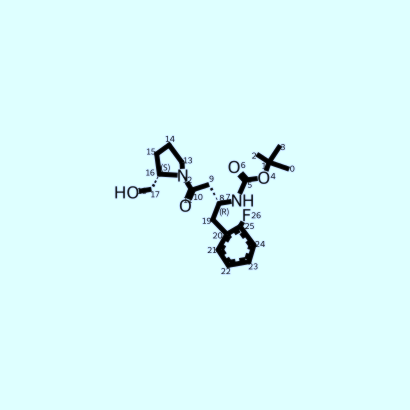 CC(C)(C)OC(=O)N[C@@H](CC(=O)N1CCC[C@H]1CO)Cc1ccccc1F